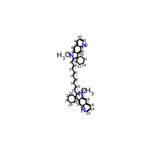 CN1/C(=C/C=C/C=C/C=C/C=C/C2=[N+](C)c3cc4cccnc4cc3C23CCCCC3)C2(CCCCC2)c2cc3ncccc3cc21